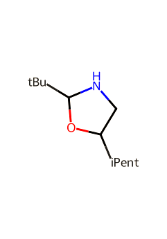 CCCC(C)C1CNC(C(C)(C)C)O1